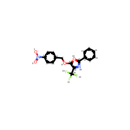 O=[N+]([O-])c1ccc(COc2oc(-c3ccccc3)nc2C(F)(F)F)cc1